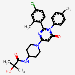 Cc1cc(Cl)ccc1-c1nc(N2CCC(NC(=O)C(C)(C)O)CC2)cc(=O)n1-c1ccc(C(F)(F)F)cc1